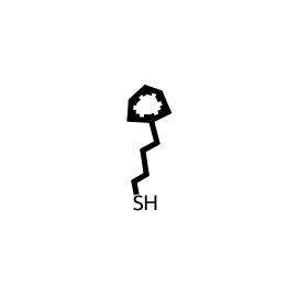 SCCCCc1ccccc1